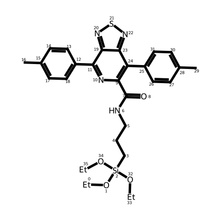 CCO[Si](CCCNC(=O)c1nc(-c2ccc(C)cc2)c2nsnc2c1-c1ccc(C)cc1)(OCC)OCC